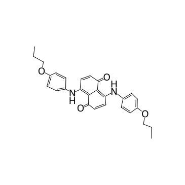 CCCOc1ccc(NC2=C3C(=O)C=CC(Nc4ccc(OCCC)cc4)=C3C(=O)C=C2)cc1